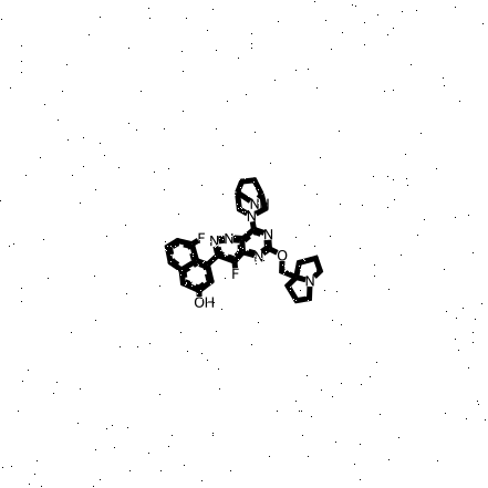 Oc1cc(-c2nnc3c(N4CC5CCC(C4)N5)nc(OCC45CCCN4CCC5)nc3c2F)c2c(F)cccc2c1